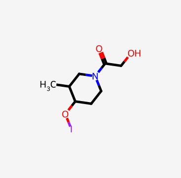 CC1CN(C(=O)CO)CCC1OI